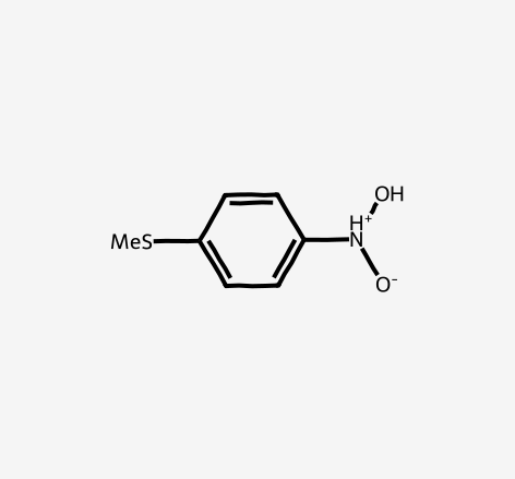 CSc1ccc([NH+]([O-])O)cc1